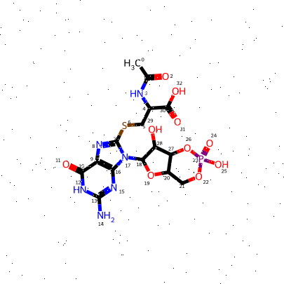 CC(=O)NC(CSc1nc2c(=O)[nH]c(N)nc2n1C1OC2COP(=O)(O)OC2C1O)C(=O)O